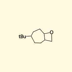 CC(C)(C)C1CCC2COC2CC1